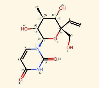 C=C[C@]1(CO)O[C@@H](n2ccc(=O)[nH]c2=O)[C@H](O)[C@@H](C)[C@@H]1O